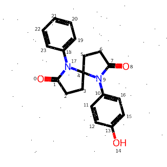 O=C1CCC2(CCC(=O)N2c2ccc(O)cc2)N1c1ccccc1